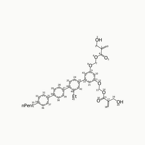 C=C(CO)C(=O)OCOc1cc(OCOC(=O)C(=C)CO)cc(-c2ccc(-c3ccc(-c4ccc(CCCCC)cc4)cc3)c(CC)c2)c1